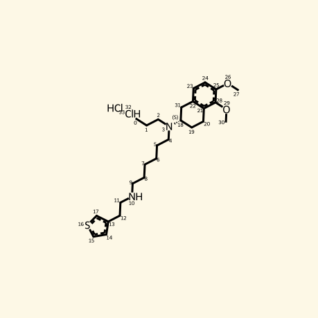 CCCN(CCCCCCNCCc1ccsc1)[C@H]1CCc2c(ccc(OC)c2OC)C1.Cl.Cl